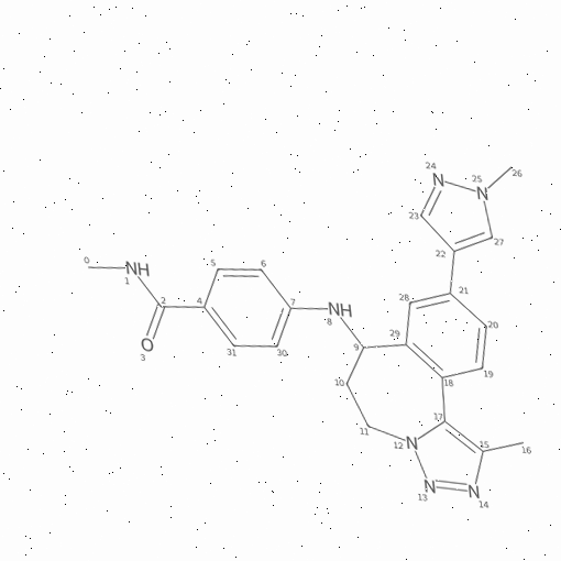 CNC(=O)c1ccc(NC2CCn3nnc(C)c3-c3ccc(-c4cnn(C)c4)cc32)cc1